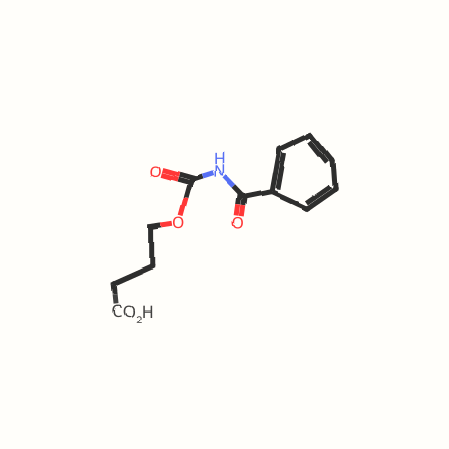 O=C(O)CCCOC(=O)NC(=O)c1ccccc1